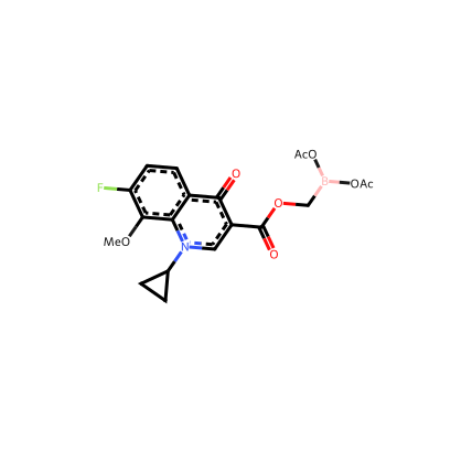 COc1c(F)ccc2c(=O)c(C(=O)OCB(OC(C)=O)OC(C)=O)cn(C3CC3)c12